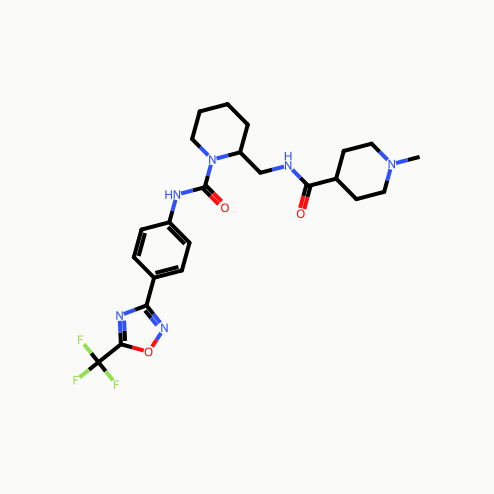 CN1CCC(C(=O)NCC2CCCCN2C(=O)Nc2ccc(-c3noc(C(F)(F)F)n3)cc2)CC1